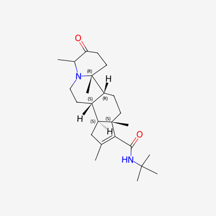 CC1=C(C(=O)NC(C)(C)C)[C@@]2(C)CC[C@@H]3[C@@H](CCN4C(C)C(=O)CC[C@]34C)[C@@H]2C1